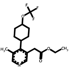 CCOC(=O)Cc1cncc(C)c1C1CCC(OC(F)(F)F)CC1